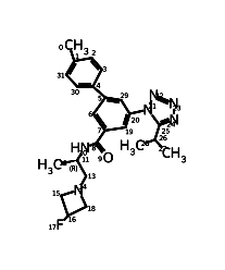 Cc1ccc(-c2cc(C(=O)N[C@H](C)CN3CC(F)C3)cc(-n3nnnc3C(C)C)c2)cc1